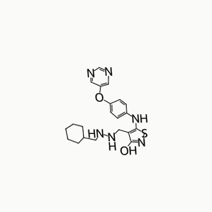 Oc1nsc(Nc2ccc(Oc3cncnc3)cc2)c1CNNCC1CCCCC1